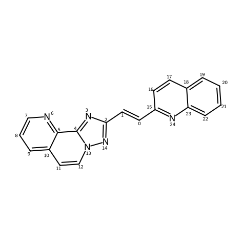 C(=Cc1nc2c3ncccc3ccn2n1)c1ccc2ccccc2n1